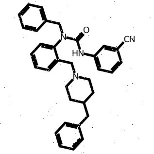 N#Cc1cccc(NC(=O)N(Cc2ccccc2)c2ccccc2CN2CCC(Cc3ccccc3)CC2)c1